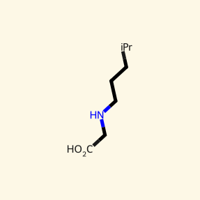 CC(C)CCCNCC(=O)O